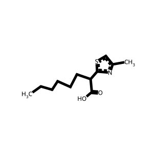 CCCCCCC(C(=O)O)c1nc(C)cs1